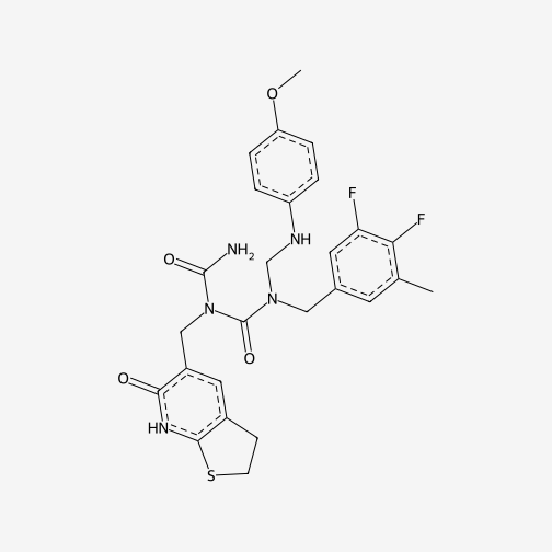 COc1ccc(NCN(Cc2cc(C)c(F)c(F)c2)C(=O)N(Cc2cc3c([nH]c2=O)SCC3)C(N)=O)cc1